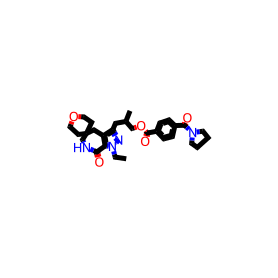 CCn1nc(CC(C)COC(=O)c2ccc(C(=O)N3CCCC3)cc2)c2c1C(=O)NCC1(CCOCC1)C2